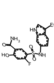 CCc1c[nH]c2cc(NS(=O)(=O)c3cc(C(N)=O)c(O)cc3F)ccc12